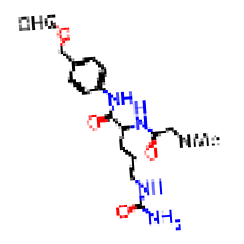 CNCC(=O)NC(CCCNC(N)=O)C(=O)Nc1ccc(COC=O)cc1